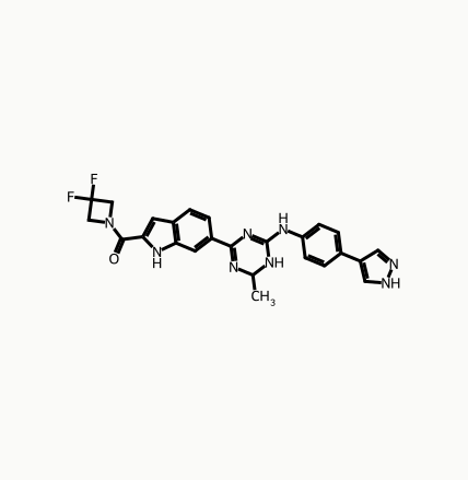 CC1N=C(c2ccc3cc(C(=O)N4CC(F)(F)C4)[nH]c3c2)N=C(Nc2ccc(-c3cn[nH]c3)cc2)N1